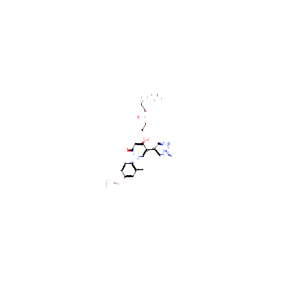 CCOc1ccc(-n2cc(-c3cnn(C)c3)c(OCCOCCOC)cc2=O)c(C)c1